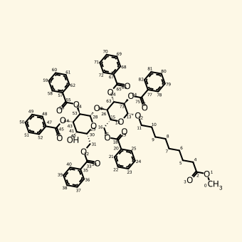 COC(=O)CCCCCCCCO[C@@H]1O[C@H](COC(=O)c2ccccc2)[C@@H](O[C@@H]2O[C@H](COC(=O)c3ccccc3)[C@H](O)[C@H](OC(=O)c3ccccc3)[C@H]2OC(=O)c2ccccc2)[C@H](OC(=O)c2ccccc2)[C@H]1OC(=O)c1ccccc1